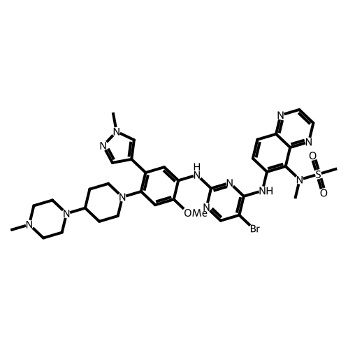 COc1cc(N2CCC(N3CCN(C)CC3)CC2)c(-c2cnn(C)c2)cc1Nc1ncc(Br)c(Nc2ccc3nccnc3c2N(C)S(C)(=O)=O)n1